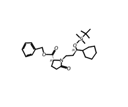 CC(C)(C)[Si](C)(C)O[C@H](CCN1C(=O)CC[C@@H]1C(=O)OCc1ccccc1)C1CCCCC1